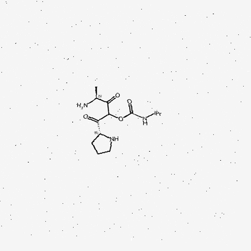 CC(C)NC(=O)OC(C(=O)[C@H](C)N)C(=O)[C@H]1CCCN1